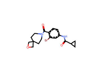 O=C(Nc1ccc(C(=O)N2CCC3(CC2)COC3)c(Br)c1)C1CC1